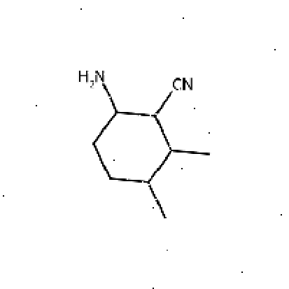 CC1CCC(N)C(C#N)C1C